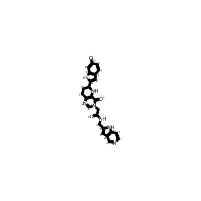 O=C(Cn1cnc2c(c1=O)NC(c1cc3ccc(Cl)cc3s1)CC2)NCc1cc2cnccc2[nH]1